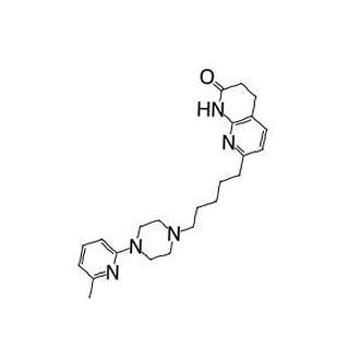 Cc1cccc(N2CCN(CCCCCc3ccc4c(n3)NC(=O)CC4)CC2)n1